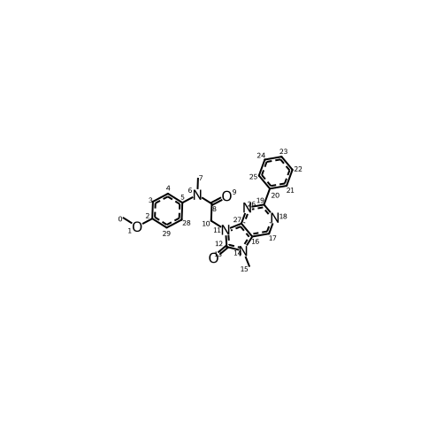 COc1ccc(N(C)C(=O)Cn2c(=O)n(C)c3cnc(-c4ccccc4)nc32)cc1